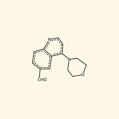 O=Cc1ccc2nccc(N3CCOCC3)c2c1